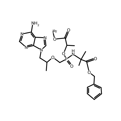 CC(C)OC(=O)C(C)OP(=O)(COC(C)Cn1cnc2c(N)ncnc21)NC(C)(C)C(=O)OCc1ccccc1